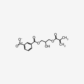 C=C(C)C(=O)OCC(O)COC(=O)c1cccc([N+](=O)[O-])c1